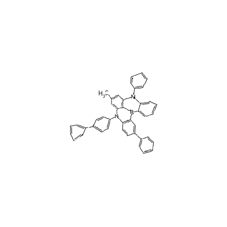 Cc1cc2c3c(c1)N(c1ccc(-c4ccccc4)cc1)c1ccc(-c4ccccc4)cc1B3c1ccccc1N2c1ccccc1